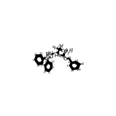 [2H]C([2H])(C(=O)O)[C@@H](CO[Si](c1ccccc1)(c1ccccc1)C(C)(C)C)NC(=O)OCc1ccccc1